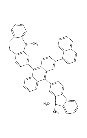 CN1c2ccccc2CCc2ccc(-c3c4ccccc4c(-c4ccc5c(c4)C(C)(C)c4ccccc4-5)c4cc(-c5cccc6ccccc56)ccc34)cc21